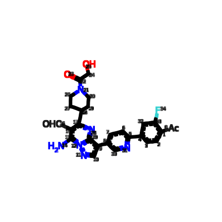 CC(=O)c1ccc(-c2ccc(-c3cnn4c(N)c(C=O)c(C5CCN(C(=O)CO)CC5)nc34)cn2)cc1F